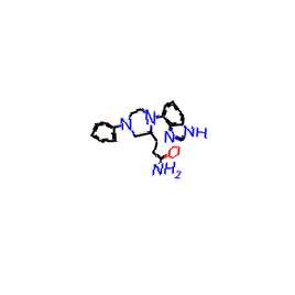 NC(=O)CCC1CN(c2ccccc2)CCN1c1cccc2[nH]cnc12